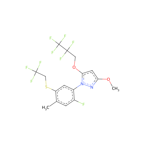 COc1cc(OCC(F)(F)C(F)(F)F)n(-c2cc(SCC(F)(F)F)c(C)cc2F)n1